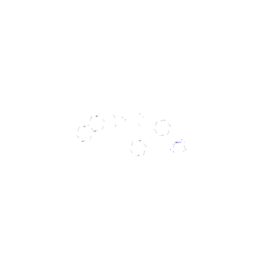 Cc1nc(-c2ccc(CN3CCN(S(=O)(=O)c4ccc5cc(Cl)ccc5c4)C(Cc4ccccc4)C3=O)cc2)no1